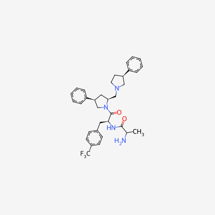 CC(N)C(=O)N[C@@H](Cc1ccc(C(F)(F)F)cc1)C(=O)N1C[C@@H](c2ccccc2)C[C@H]1CN1CC[C@@H](c2ccccc2)C1